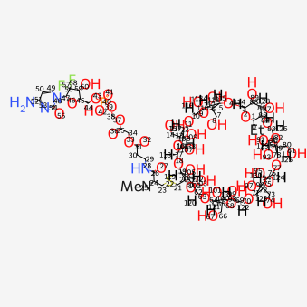 CCC1O[C@@H]2O[C@@H]3C(CO)O[C@H](O[C@@H]4C(CO)O[C@@H](O[C@@H]5C(CSC[C@@H](NC)C(=O)NCCC(=O)OCC(=O)OCOP(=O)(O)OC[C@H]6O[C@@H](n7ccc(N)nc7=O)C(F)(F)[C@@H]6O)O[C@@H](O[C@H]6C(CO)O[C@H](O[C@@H]7C(CO)O[C@H](O[C@@H]8C(CO)O[C@H](O[C@H]1[C@H](O)C2O)C(O)[C@H]8O)C(O)[C@H]7O)C(O)[C@H]6O)C(O)[C@H]5O)C(O)[C@H]4O)C(O)[C@H]3O